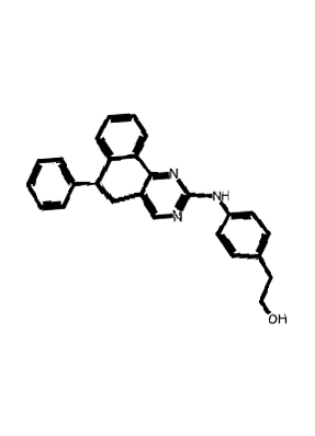 OCCc1ccc(Nc2ncc3c(n2)-c2ccccc2[C@H](c2ccccc2)C3)cc1